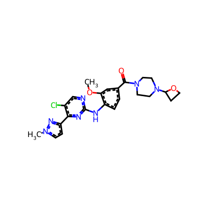 COc1cc(C(=O)N2CCN(C3CCO3)CC2)ccc1Nc1ncc(Cl)c(-c2ccn(C)n2)n1